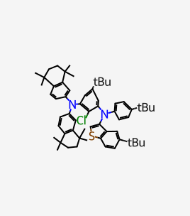 CC(C)(C)c1ccc(N(c2cc(C(C)(C)C)cc(N(c3ccc4c(c3)C(C)(C)CCC4(C)C)c3ccc4c(c3)C(C)(C)CCC4(C)C)c2Cl)c2csc3ccc(C(C)(C)C)cc23)cc1